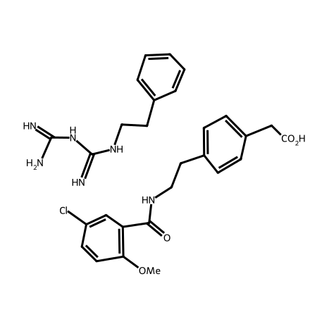 COc1ccc(Cl)cc1C(=O)NCCc1ccc(CC(=O)O)cc1.N=C(N)NC(=N)NCCc1ccccc1